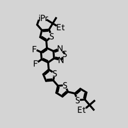 CCC(C)(C)c1ccc(-c2ccc(-c3ccc(-c4c(F)c(F)c(-c5cc(CC(C)C)c(C(C)(C)CC)s5)c5nsnc45)s3)s2)s1